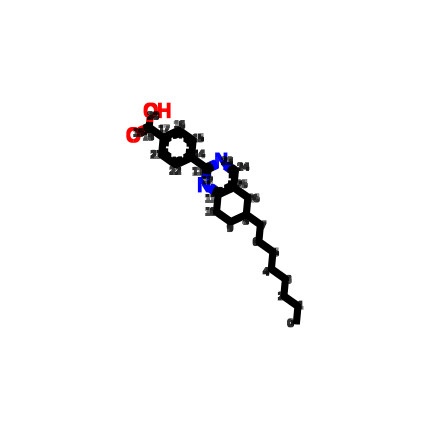 CCCCCCCCC1CCc2nc(-c3ccc(C(=O)O)cc3)ncc2C1